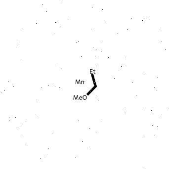 [CH2]CCOC.[Mn]